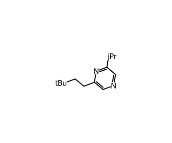 CC(C)c1cncc(CCC(C)(C)C)n1